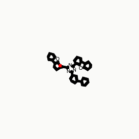 C1=Cc2c(oc3ccccc23)[C@H]2C1=C2c1nc(-c2cccc(-c3ccccc3)c2)nc(-c2cccc3c2oc2ccccc23)n1